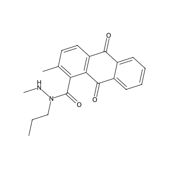 CCCN(NC)C(=O)c1c(C)ccc2c1C(=O)c1ccccc1C2=O